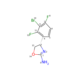 NC1=N[C@@H](c2ccc(F)c(Br)c2F)CO1